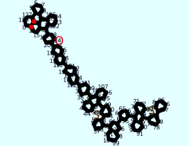 c1ccc(-c2ccccc2-c2c3ccccc3c(-c3ccc4c(c3)oc3cc5cc(-c6ccc7cc(-c8ccc(-c9c%10ccccc%10c(-c%10cccc%11c%10sc%10cccc(-c%12cc(-c%13cccc(-c%14c%15ccccc%15c(-c%15cccc%16c%15sc%15ccccc%15%16)c%15ccccc%14%15)c%13)cc%13ccccc%12%13)c%10%11)c%10ccccc9%10)cc8)ccc7c6)ccc5cc34)c3ccccc23)cc1